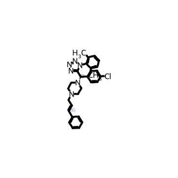 Cc1cccc(C)c1-n1nnnc1[C@H](c1ccc(Cl)cc1)N1CCN(C/C=C/c2ccccc2)CC1